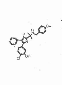 COc1ccc(CNC(C)(C)c2nc(-c3ccc(Cl)c(O)c3)c(-c3ccncc3)[nH]2)cc1